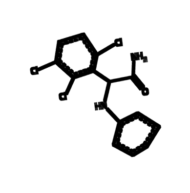 NC(=O)C(Nc1ccccc1)c1c(Cl)ccc(Cl)c1Cl